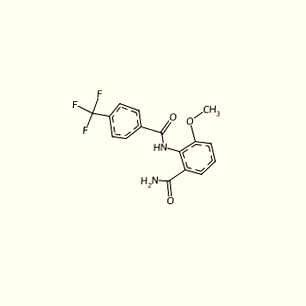 COc1cccc(C(N)=O)c1NC(=O)c1ccc(C(F)(F)F)cc1